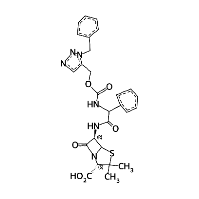 CC1(C)SC2[C@H](NC(=O)C(NC(=O)OCc3cnnn3Cc3ccccc3)c3ccccc3)C(=O)N2[C@H]1C(=O)O